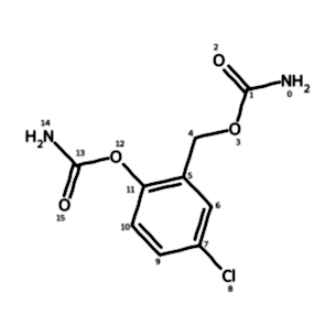 NC(=O)OCc1cc(Cl)ccc1OC(N)=O